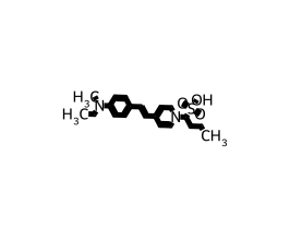 CCCC(N1C=CC(/C=C/c2ccc(N(C)CC)cc2)=CC1)S(=O)(=O)O